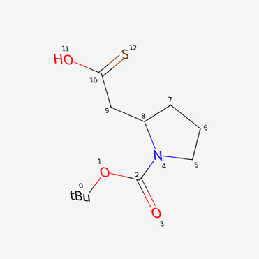 CC(C)(C)OC(=O)N1CCCC1CC(O)=S